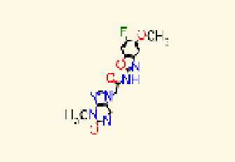 COc1cc2nc(NC(=O)Cn3cnc4c3cnc(=O)n4C)oc2cc1F